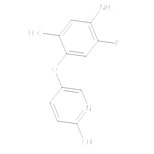 Cc1ccc(Oc2cc(F)c(N)cc2C)cn1